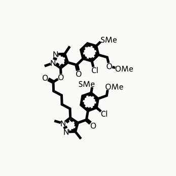 COCc1c(SC)ccc(C(=O)c2c(C)nn(C)c2CCCCC(=O)Oc2c(C(=O)c3ccc(SC)c(COOC)c3Cl)c(C)nn2C)c1Cl